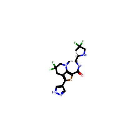 O=C1N[C@@H]([C@@H]2CC(F)(F)CN2)CN2CC(F)(F)Cc3c(-c4cn[nH]c4)sc1c32